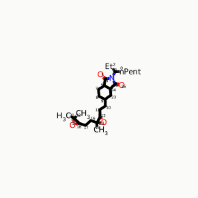 CCCCCC(CC)N1C(=O)C2CCC(CCC3OC3(C)CCC3OC3(C)C)CC2C1=O